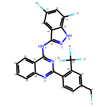 FCc1ccc(-c2nc(Nc3n[nH]c4c(F)cc(F)cc34)c3ccccc3n2)c(C(F)(F)F)c1